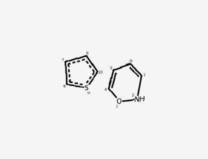 C1=CNOC=C1.c1ccsc1